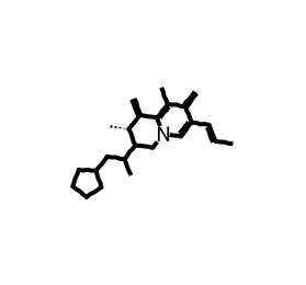 C=C1C(/C=C/C)=CN2CC(C(C)CC3CCCC3)[C@H](C)C(=C)C2=C1C